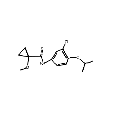 COC1(C(=O)Nc2ccc(OC(C)C)c(Cl)c2)CC1